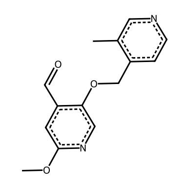 COc1cc(C=O)c(OCc2ccncc2C)cn1